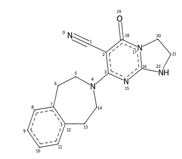 N#Cc1c(N2CCc3ccccc3CC2)nc2n(c1=O)CCN2